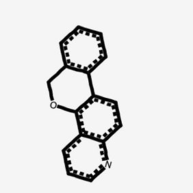 c1ccc2c(c1)COc1c-2ccc2ncccc12